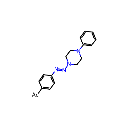 CC(=O)c1ccc(N=NN2CCN(c3ccccc3)CC2)cc1